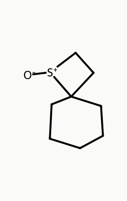 [O-][S+]1CCC12CCCCC2